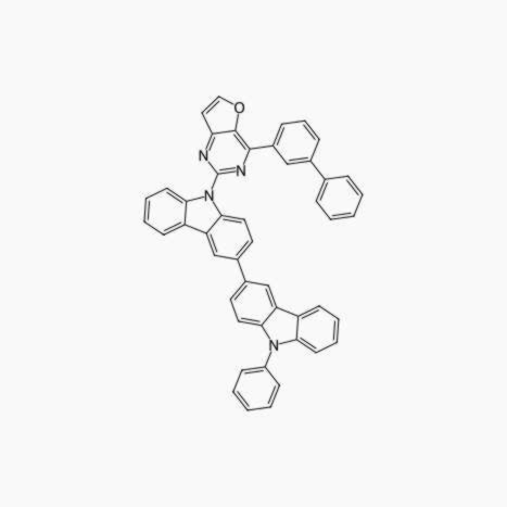 c1ccc(-c2cccc(-c3nc(-n4c5ccccc5c5cc(-c6ccc7c(c6)c6ccccc6n7-c6ccccc6)ccc54)nc4ccoc34)c2)cc1